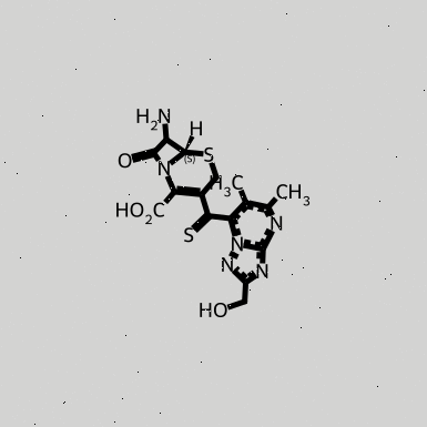 Cc1nc2nc(CO)nn2c(C(=S)C2=C(C(=O)O)N3C(=O)C(N)[C@@H]3SC2)c1C